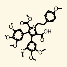 COC(=O)c1c(-c2cc(OC)c(OC)c(OC)c2)c(-c2cc(OC)c(OC)c(OC)c2)c(C(=O)O)n1CCc1ccc(OC)cc1